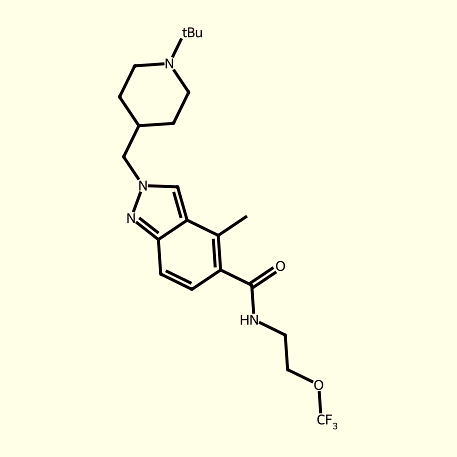 Cc1c(C(=O)NCCOC(F)(F)F)ccc2nn(CC3CCN(C(C)(C)C)CC3)cc12